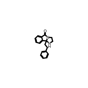 O=C1c2ccccc2C2(CCc3ccccc3)NCCN12